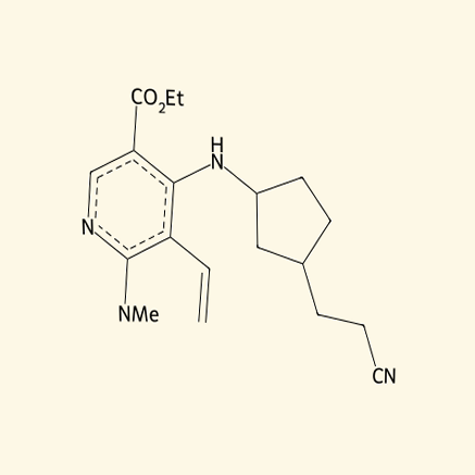 C=Cc1c(NC)ncc(C(=O)OCC)c1NC1CCC(CCC#N)C1